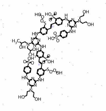 CC(O)CN(CC(C)O)c1nc(Nc2ccc(/C=C/c3ccc(Nc4nc(Nc5ccc(S(=O)(=O)O)cc5)nc(N(CCO)CCO)n4)cc3S(=O)(=O)O)c(SOOO)c2)nc(Nc2ccc(/C=C/c3ccc(Nc4nc(Nc5ccc(S(=O)(=O)O)cc5)nc(N(CCO)CCO)n4)cc3SOOO)c(S(=O)(=O)O)c2)n1